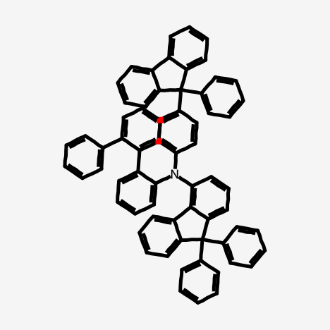 c1ccc(-c2ccccc2-c2ccccc2N(c2ccc(C3(c4ccccc4)c4ccccc4-c4ccccc43)cc2)c2cccc3c2-c2ccccc2C3(c2ccccc2)c2ccccc2)cc1